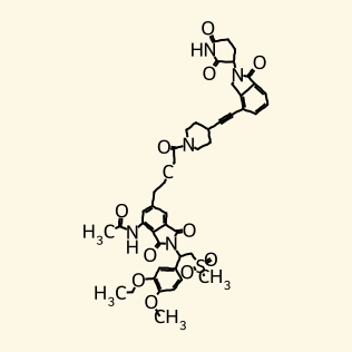 CCOc1cc(C(CS(C)(=O)=O)N2C(=O)c3cc(CCCCC(=O)N4CCC(C#Cc5cccc6c5CN(C5CCC(=O)NC5=O)C6=O)CC4)cc(NC(C)=O)c3C2=O)ccc1OC